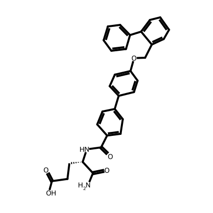 NC(=O)[C@H](CCC(=O)O)NC(=O)c1ccc(-c2ccc(OCc3ccccc3-c3ccccc3)cc2)cc1